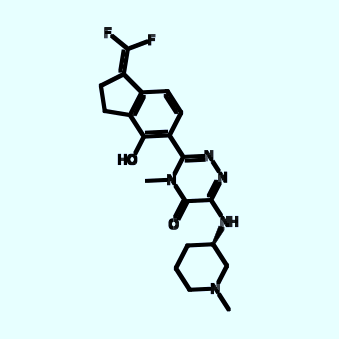 CN1CCC[C@@H](Nc2nnc(-c3ccc4c(c3O)CCC4=C(F)F)n(C)c2=O)C1